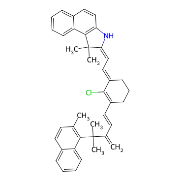 C=C(/C=C/C1=C(Cl)C(=C/C=C2/Nc3ccc4ccccc4c3C2(C)C)/CCC1)C(C)(C)c1c(C)ccc2ccccc12